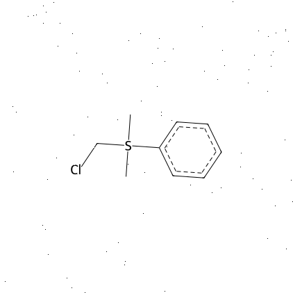 CS(C)(CCl)c1ccccc1